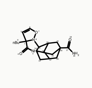 CCCCC1(C(N)=O)C=CON1C1C2CC3CC1CC(C(N)=O)(C3)C2